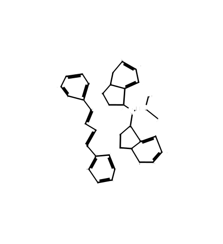 C(C=Cc1ccccc1)=Cc1ccccc1.C[SiH](C)[Zr]([CH]1CCC2CC=CC=C21)[CH]1CCC2CC=CC=C21